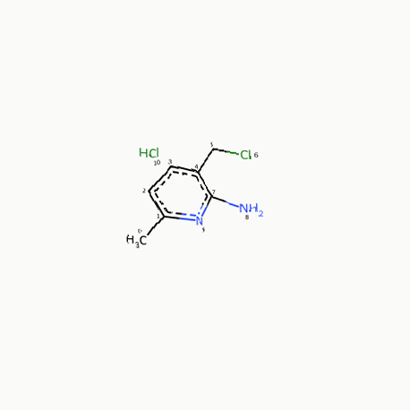 Cc1ccc(CCl)c(N)n1.Cl